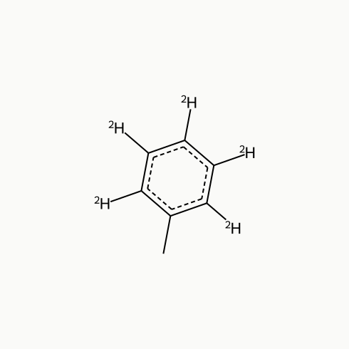 [2H]c1c([2H])c([2H])c(C)c([2H])c1[2H]